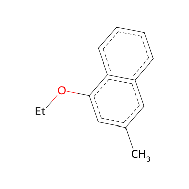 CCOc1cc(C)cc2ccccc12